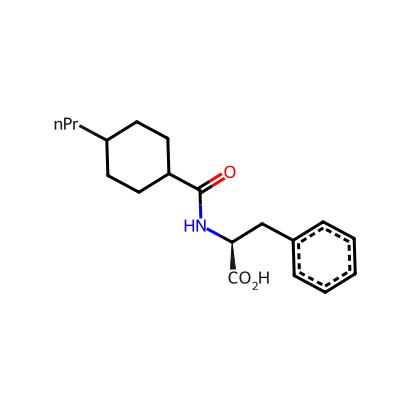 CCCC1CCC(C(=O)N[C@@H](Cc2ccccc2)C(=O)O)CC1